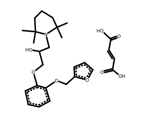 CC1(C)CCCC(C)(C)N1CC(O)COc1ccccc1OCc1ccco1.O=C(O)C=CC(=O)O